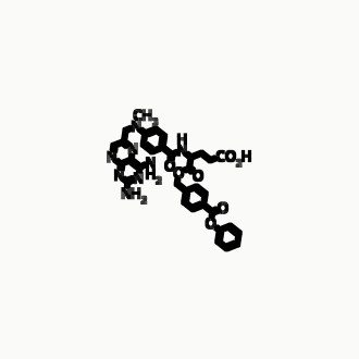 CN(Cc1cnc2nc(N)nc(N)c2n1)c1ccc(C(=O)NC(CCC(=O)O)C(=O)OCc2ccc(C(=O)Oc3ccccc3)cc2)cc1